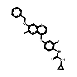 Cc1cc2c(Oc3ccc(NC(=O)NC4CC4)c(F)c3)ccnc2cc1OCc1ccccc1